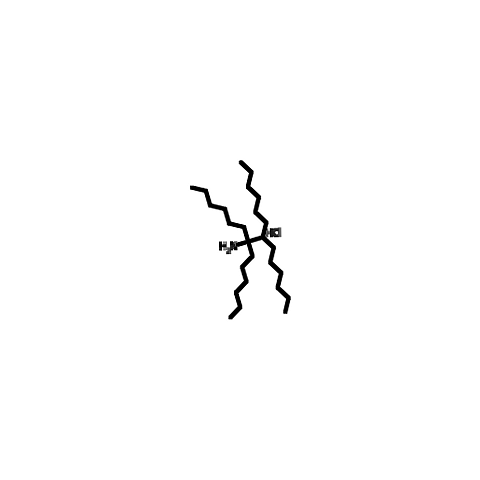 CCCCCCC(CCCCCC)C(N)(CCCCCC)CCCCCC.Cl